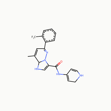 CC1=CC(c2ccccc2C(F)(F)F)=NN2C(C(=O)NC3=CCNC=C3)=CNC12